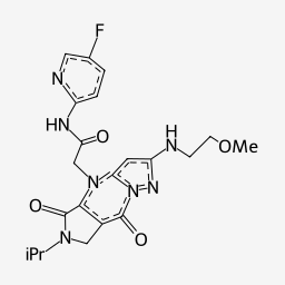 COCCNc1cc2n(CC(=O)Nc3ccc(F)cn3)c3c(c(=O)n2n1)CN(C(C)C)C3=O